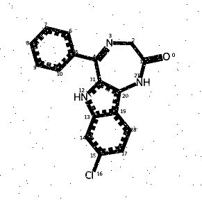 O=C1CN=C(c2ccccc2)c2[nH]c3cc(Cl)ccc3c2N1